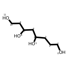 OCCCC(O)CC(O)CCO